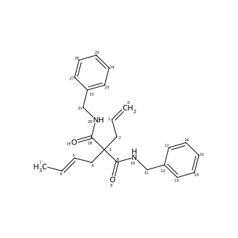 C=CCC(CC=CC)(C(=O)NCc1ccccc1)C(=O)NCc1ccccc1